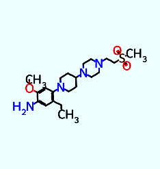 CCc1cc(N)c(OC)cc1N1CCC(N2CCN(CCS(C)(=O)=O)CC2)CC1